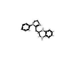 c1ccc(N2CCN=C2CC2COc3ccccc3O2)cc1